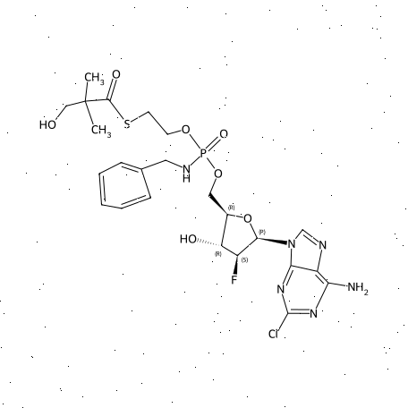 CC(C)(CO)C(=O)SCCOP(=O)(NCc1ccccc1)OC[C@H]1O[C@@H](n2cnc3c(N)nc(Cl)nc32)[C@@H](F)[C@@H]1O